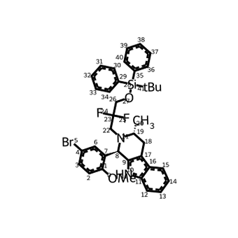 COc1ccc(Br)cc1[C@@H]1c2[nH]c3ccccc3c2C[C@@H](C)N1CC(F)(F)CO[Si](c1ccccc1)(c1ccccc1)C(C)(C)C